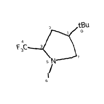 CC(C)(C)C1CC(C(F)(F)F)N(I)C1